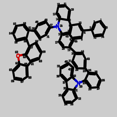 c1ccc(-c2cccc(-c3ccccc3N(c3ccc(-c4ccc(-c5ccccc5-n5c6ccccc6c6ccccc65)cc4)cc3)c3ccc(-c4ccccc4-c4cccc5c4oc4ccccc45)cc3)c2)cc1